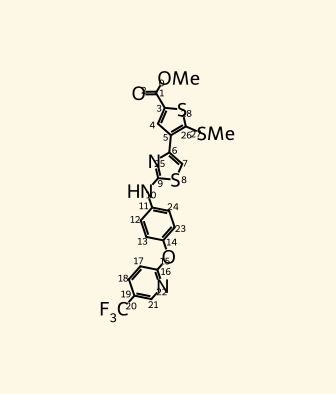 COC(=O)c1cc(-c2csc(Nc3ccc(Oc4ccc(C(F)(F)F)cn4)cc3)n2)c(SC)s1